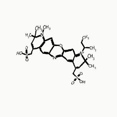 CCC(C)[N+]1=c2cc3c(cc2C(CS(=O)(=O)O)=CC1(C)C)=Nc1cc2c(cc1O3)N(C)C(C)(C)C=C2CS(=O)(=O)O